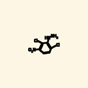 NNc1c(Cl)ccc([N+](=O)[O-])c1Cl